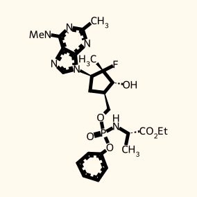 CCOC(=O)[C@H](C)NP(=O)(OC[C@H]1C[C@@H](n2cnc3c(NC)nc(C)nc32)[C@](C)(F)[C@@H]1O)Oc1ccccc1